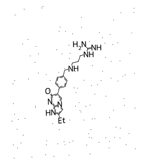 CCc1cn2cc(-c3ccc(CNCCCNC(=N)N)cc3)c(=O)nc2[nH]1